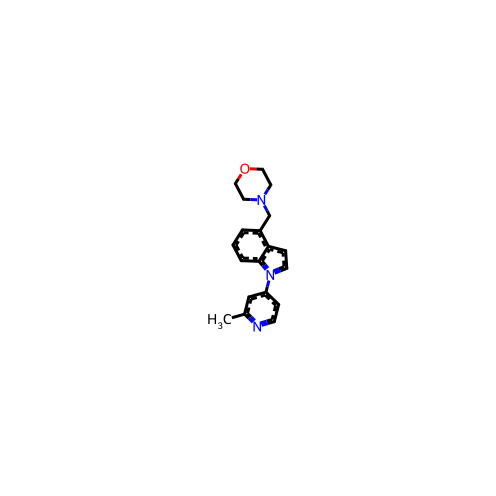 Cc1cc(-n2ccc3c(CN4CCOCC4)cccc32)ccn1